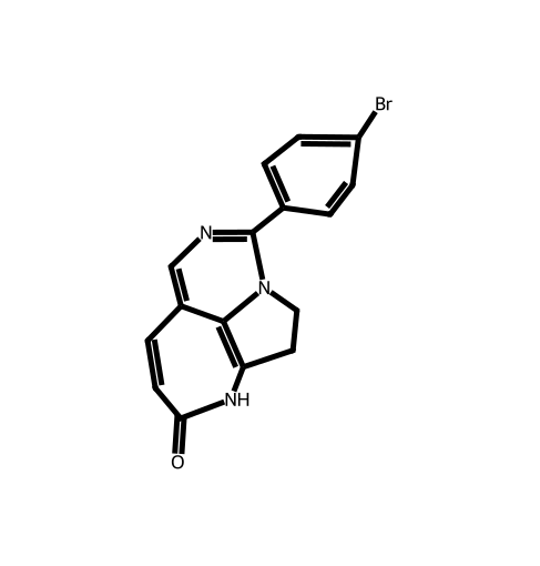 O=C1C=CC2=CN=C(c3ccc(Br)cc3)N3CCC(=C23)N1